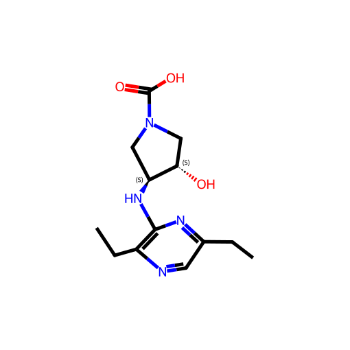 CCc1cnc(CC)c(N[C@H]2CN(C(=O)O)C[C@@H]2O)n1